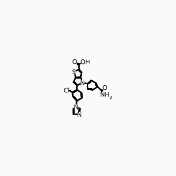 NC(=O)c1ccc(-n2c(-c3ccc(-n4ccnc4)cc3Cl)cc3sc(C(=O)O)cc32)cc1